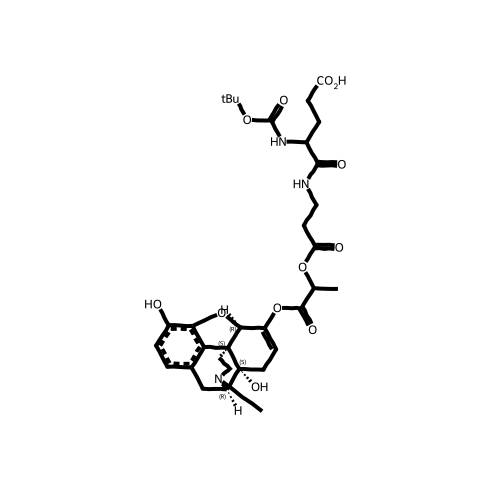 CC(OC(=O)CCNC(=O)C(CCC(=O)O)NC(=O)OC(C)(C)C)C(=O)OC1=CC[C@@]2(O)[C@H]3Cc4ccc(O)c5c4[C@@]2(CCN3C)[C@H]1O5